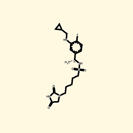 C[C@@H](NS(=O)(=O)CCCCCN1CC(=O)NC1=O)c1ccc(F)c(NCC2CC2)c1